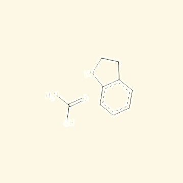 NC(=O)O.c1ccc2c(c1)CCN2